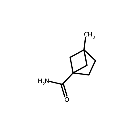 CC12CCC(C(N)=O)(C1)C2